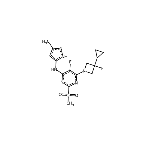 Cc1cc(Nc2nc(S(C)(=O)=O)nc(N3CC(F)(C4CC4)C3)c2F)[nH]n1